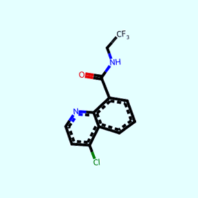 O=C(NCC(F)(F)F)c1cccc2c(Cl)ccnc12